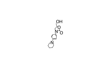 O=C1OC(CO)CN1c1ccc(N2CCCCC2)cc1